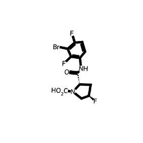 O=C(Nc1ccc(F)c(Br)c1F)[C@@H]1C[C@@H](F)CN1C(=O)O